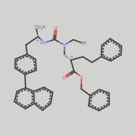 CC(C)CN(C[C@H](CCc1ccccc1)C(=O)OCc1ccccc1)C(=O)N[C@@H](Cc1ccc(-c2cccc3ccccc23)cc1)C(=O)O